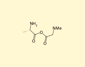 CNCC(=O)OC(=O)[C@H](C)N